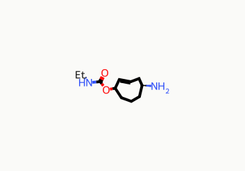 CCNC(=O)OC1/C=C/C[C@@H](N)CCC1